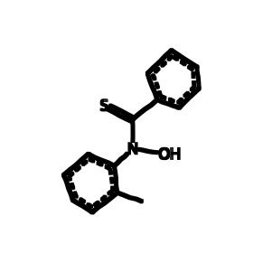 Cc1ccccc1N(O)C(=S)c1ccccc1